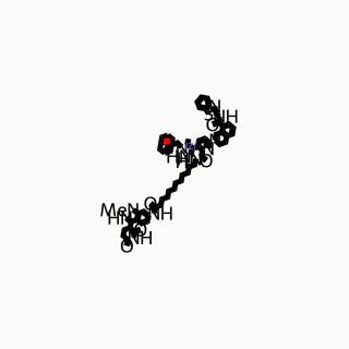 CNc1cc(NC(=O)CCCCCCCCCCCNC(=O)c2nc(N3CCc4cccc(C(=O)Nc5nc6ccccc6s5)c4C3)ccc2/C(C=N)=C(\C)NCC23CC4CC(CC(C4)C2)C3)ccc1C(=N)C1CCC(=O)NC1=O